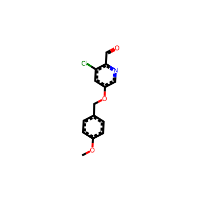 COc1ccc(COc2cnc(C=O)c(Cl)c2)cc1